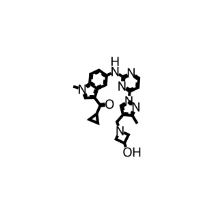 Cc1nn(-c2ccnc(Nc3ccc4c(c3)c(C(=O)C3CC3)cn4C)n2)cc1CN1CC(O)C1